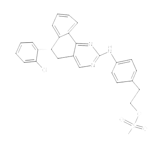 CS(=O)(=O)OCCc1ccc(Nc2ncc3c(n2)-c2ccccc2[C@@H](c2ccccc2Cl)C3)cc1